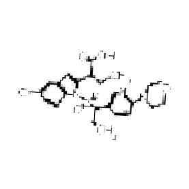 C=CC(c1ccc(N2CCOCC2)nc1)S(=O)(=O)n1c(C(CC)C(=O)O)cc2cc(Cl)ccc21